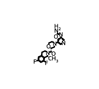 C[C@@H]1c2c(F)cc(F)cc2CCN1C(=O)[C@H]1CN(c2cncc3nc(N)oc23)CCO1